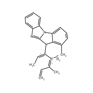 C=C/C(C)=[N+](C)\C(=C/C)n1c2c(C)cccc2n2c3ccccc3nc12